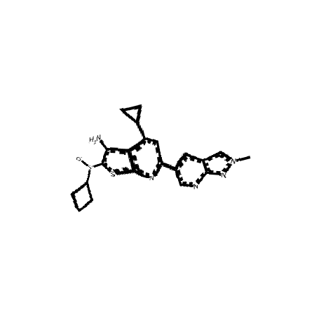 Cn1cc2cc(-c3cc(C4CC4)c4c(N)c([S+]([O-])C5CCC5)sc4n3)cnc2n1